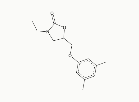 CCN1CC(COc2cc(C)cc(C)c2)OC1=O